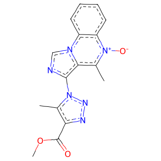 COC(=O)c1nnn(-c2ncn3c2c(C)[n+]([O-])c2ccccc23)c1C